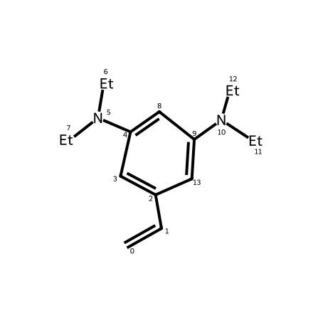 C=Cc1cc(N(CC)CC)cc(N(CC)CC)c1